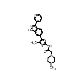 Cc1nc(NC(=O)CN2CCN(C)CC2)sc1-c1ccc2c(-c3cccnc3)n[nH]c2c1